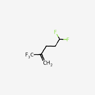 C=C(CCC(F)F)C(F)(F)F